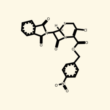 O=C(OCc1ccc([N+](=O)[O-])cc1)C1=C(Cl)CS[C@H]2C(N3C(=O)c4ccccc4C3=O)C(=O)N12